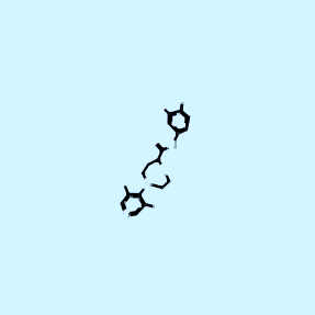 Cc1ccc(NC(=O)C2CCCN(c3c(Cl)cncc3Cl)CC2)cc1F